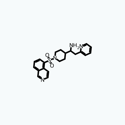 NC(Cc1ccccn1)C1CCN(S(=O)(=O)c2cccc3cnccc23)CC1